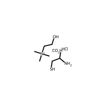 C[N+](C)(C)CCO.Cl.NC(CS)C(=O)O